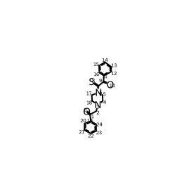 O=C(CN1CCN(C(=S)C(=O)c2ccccc2)CC1)c1ccccc1